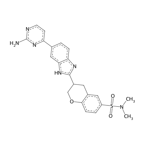 CN(C)S(=O)(=O)c1ccc2c(c1)CC(c1nc3ccc(-c4ccnc(N)n4)cc3[nH]1)CO2